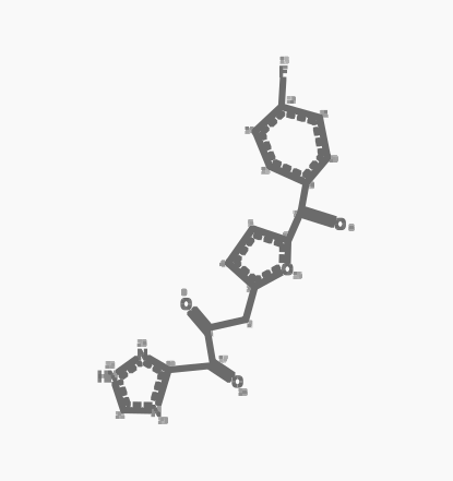 O=C(Cc1ccc(C(=O)c2ccc(F)cc2)o1)C(=O)c1nc[nH]n1